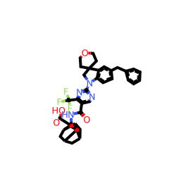 O=C(NC1(C(=O)O)C2CCC3CC(C2)CC1C3)c1cnc(N2CC3(CCOCC3)c3cc(Cc4ccccc4)ccc32)nc1C(F)(F)F